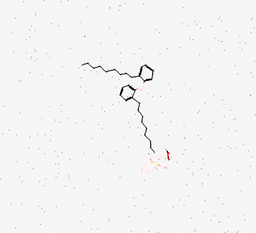 C1CO1.CCCCCCCCCc1ccccc1Oc1ccccc1CCCCCCCCC.O=S(=O)(O)O